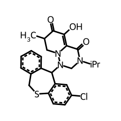 CC1CN2C(=C(O)C1=O)C(=O)N(C(C)C)CN2C1c2ccccc2CSc2ccc(Cl)cc21